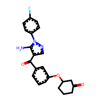 Nc1c(C(=O)c2cccc(OC3CCCC(=O)C3)c2)cnn1-c1ccc(F)cc1